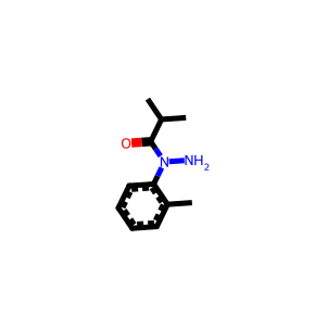 Cc1ccccc1N(N)C(=O)C(C)C